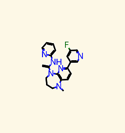 C=C(Nc1ccccn1)N1CCCN(C)c2ccc(-c3cncc(F)c3)nc21